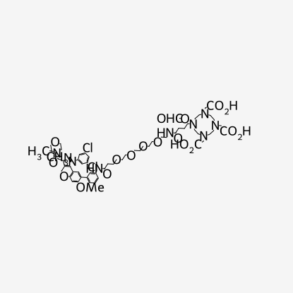 COc1cc2c(cc1-c1cccc(NC(=O)CCOCCOCCOCCOCCNC(=O)CCC(OC=O)N3CCN(CC(=O)O)CCN(CC(=O)O)CCN(CC(=O)O)CC3)c1)-c1c(c(C(=O)N3CCOCC3(C)C)nn1-c1cc(Cl)cc(Cl)c1)CO2